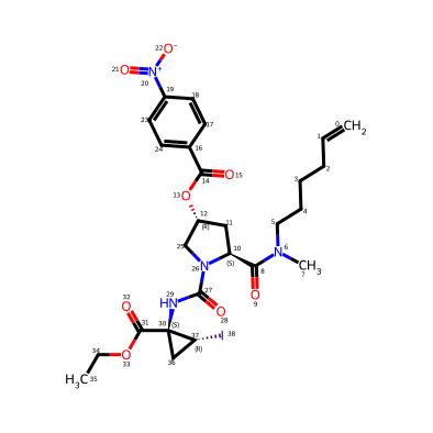 C=CCCCCN(C)C(=O)[C@@H]1C[C@@H](OC(=O)c2ccc([N+](=O)[O-])cc2)CN1C(=O)N[C@]1(C(=O)OCC)C[C@H]1I